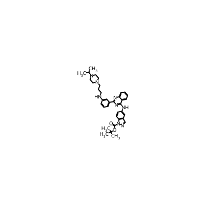 CC(C)N1CCN(CCCNc2cccc(-c3nc(Nc4ccc5c(cnn5C(=O)OC(C)(C)C)c4)c4ccccc4n3)c2)CC1